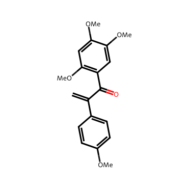 C=C(C(=O)c1cc(OC)c(OC)cc1OC)c1ccc(OC)cc1